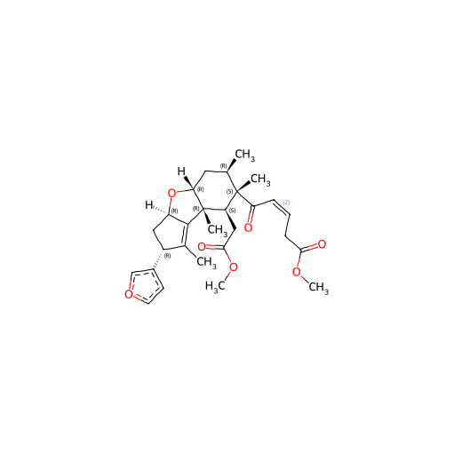 COC(=O)C/C=C\C(=O)[C@]1(C)[C@@H](CC(=O)OC)[C@]2(C)C3=C(C)[C@H](c4ccoc4)C[C@H]3O[C@@H]2C[C@H]1C